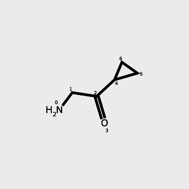 NCC(=O)C1CC1